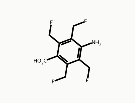 Nc1c(CF)c(CF)c(C(=O)O)c(CF)c1CF